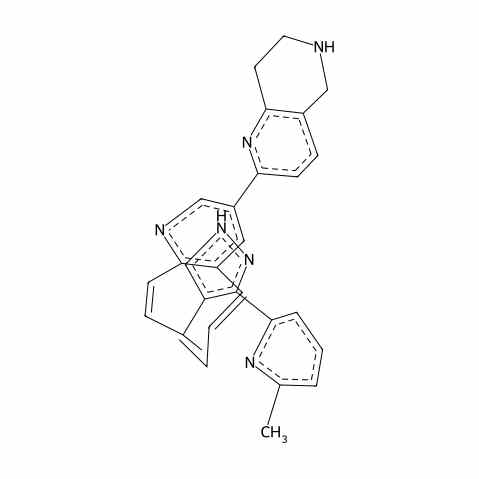 Cc1cccc(-c2n[nH]cc2C2=C\C=C\c3cc(-c4ccc5c(n4)CCNC5)cnc3/C=C\2)n1